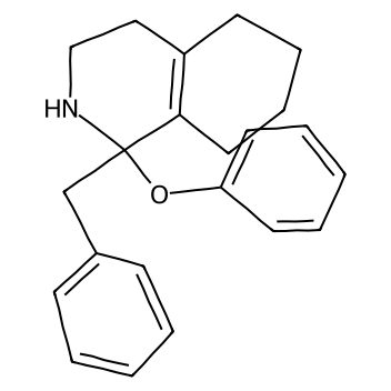 c1ccc(CC2(Oc3ccccc3)NCCC3=C2CCCC3)cc1